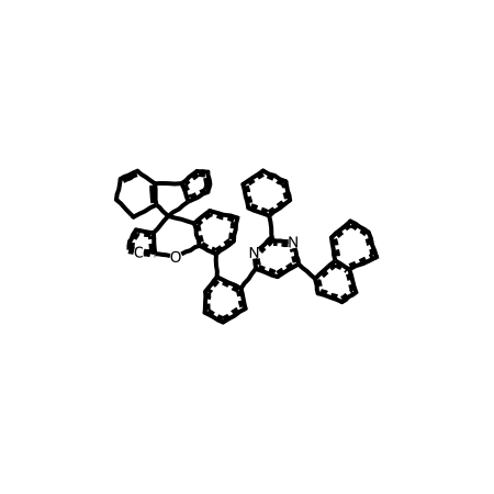 C1=CC2=C(CC1)C1(c3ccccc3Oc3c(-c4ccccc4-c4cc(-c5cccc6ccccc56)nc(-c5ccccc5)n4)cccc31)c1ccccc12